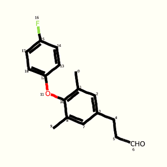 Cc1cc(CCC=O)cc(C)c1Oc1ccc(F)cc1